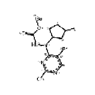 CC1CCC(N(NC(=O)OC(C)(C)C)c2nc(Cl)ncc2Br)C1